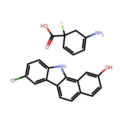 NC1=CC=CC(F)(C(=O)O)C1.Oc1ccc2ccc3c4cc(Cl)ccc4[nH]c3c2c1